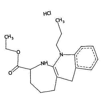 CCCN1C2=C(CCCC(C(=O)OCC)N2)Cc2ccccc21.Cl